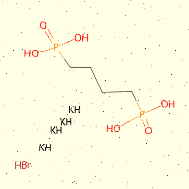 Br.O=P(O)(O)CCCCP(=O)(O)O.[KH].[KH].[KH].[KH]